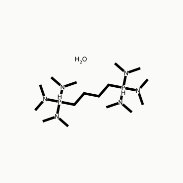 CN(C)[PH](CCCC[PH](N(C)C)(N(C)C)N(C)C)(N(C)C)N(C)C.O